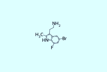 Cc1[nH]c2c(F)cc(Br)cc2c1CCN